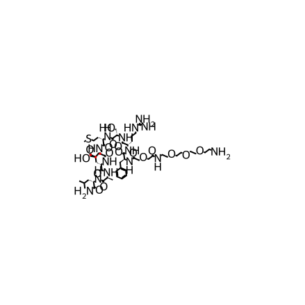 CSCC[C@H](NC(=O)[C@H](CO)NC(=O)[C@H](CCCNC(=N)N)NC(=O)[C@H](Cc1ccccc1)NC(=O)COCC(=O)NCCOCCOCCOCCN)C(=O)N[C@@H](CC(=O)O)C(=O)N[C@@H](CC(C)C)C(=O)N[C@@H](C)C(=O)N[C@@H](CC(C)C)C(N)=O